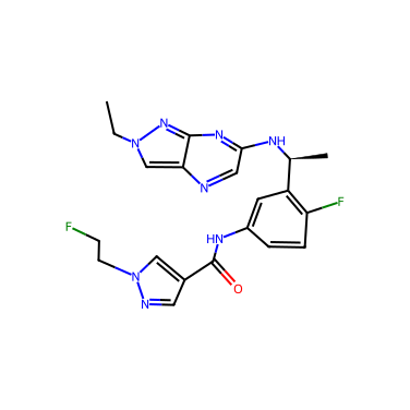 CCn1cc2ncc(N[C@@H](C)c3cc(NC(=O)c4cnn(CCF)c4)ccc3F)nc2n1